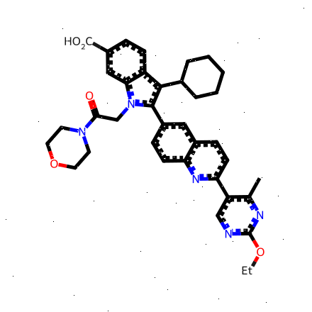 CCOc1ncc(-c2ccc3cc(-c4c(C5CCCCC5)c5ccc(C(=O)O)cc5n4CC(=O)N4CCOCC4)ccc3n2)c(C)n1